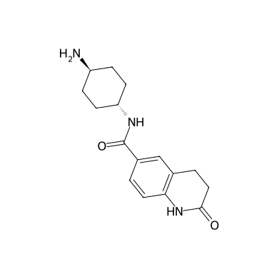 N[C@H]1CC[C@H](NC(=O)c2ccc3c(c2)CCC(=O)N3)CC1